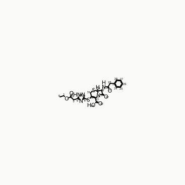 CCOC(=O)Cc1nc(SC2=C(C(=O)O)N3C(=O)[C@@H](NC(=O)Cc4ccccc4)[C@H]3SC2)n[nH]1